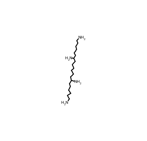 NCCCCCCC(N)CCCCCCC(N)CCCCCCN